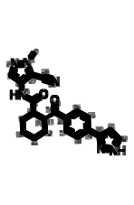 Cn1ncc(NC(=O)C2CCCC[C@@H]2C(=O)c2ccc(-c3cc[nH]n3)cc2)c1C#N